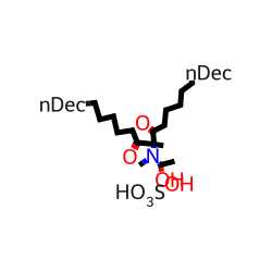 CCCCCCCCCCCCCCCC(=O)C(C)(C(=O)CCCCCCCCCCCCCCC)N(C)C(C)O.O=S(=O)(O)O